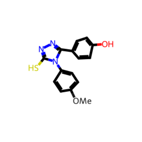 COc1ccc(-n2c(S)nnc2-c2ccc(O)cc2)cc1